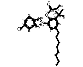 CCCCCCCCc1cc(-n2nc3ccc(Cl)cc3n2)c(OC(=O)CC)c(C(C)(C)C)c1